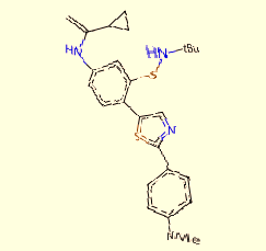 C=C(Nc1ccc(-c2cnc(-c3ccc(NC)cc3)s2)c(SNC(C)(C)C)c1)C1CC1